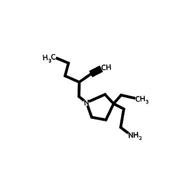 C#CC(CCC)CN1CCC(CC)(CCN)C1